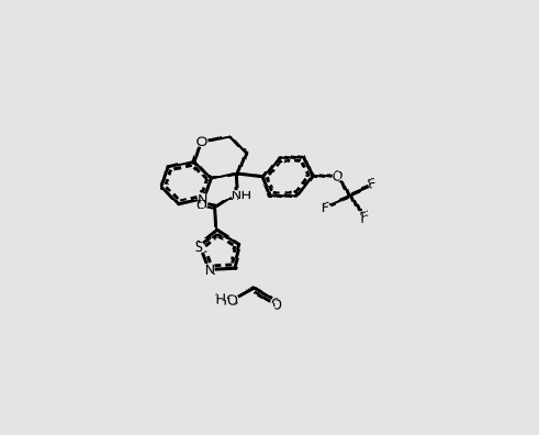 O=C(NC1(c2ccc(OC(F)(F)F)cc2)CCOc2cccnc21)c1ccns1.O=CO